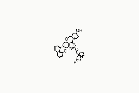 OC1CCN2c3nc(OC[C@@]45CCCN4C[C@H](F)C5)nc4c3C(CN(c3cccc5cccc(Cl)c35)C4)OCC2C1